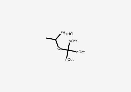 CCCCCCCCC(CCCCCCCC)(CCCCCCCC)OC(C)P.Cl